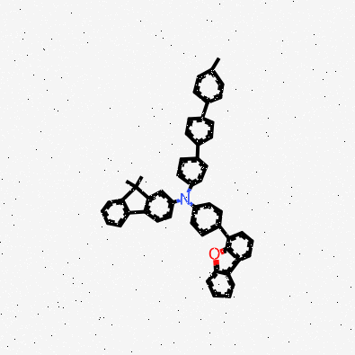 Cc1ccc(-c2ccc(-c3ccc(N(c4ccc(-c5cccc6c5oc5ccccc56)cc4)c4ccc5c(c4)C(C)(C)c4ccccc4-5)cc3)cc2)cc1